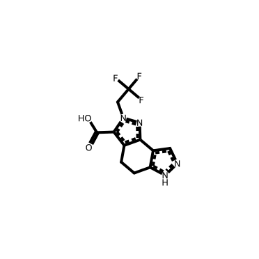 O=C(O)c1c2c(nn1CC(F)(F)F)-c1cn[nH]c1CC2